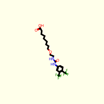 O=C(O)CCCCCCCCOCCNC(=O)Nc1ccc(C(F)(F)F)c(C(F)(F)F)c1